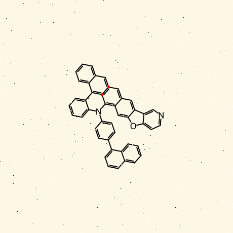 c1ccc(N(c2ccc(-c3cccc4ccccc34)cc2)c2cccc3cc4c(cc23)oc2ccncc24)c(-c2cccc3ccccc23)c1